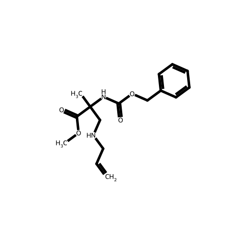 C=CCNCC(C)(NC(=O)OCc1ccccc1)C(=O)OC